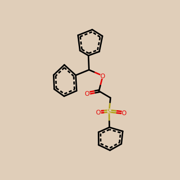 O=C(CS(=O)(=O)c1ccccc1)OC(c1ccccc1)c1ccccc1